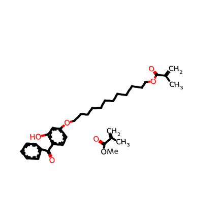 C=C(C)C(=O)OC.C=C(C)C(=O)OCCCCCCCCCCCCOc1ccc(C(=O)c2ccccc2)c(O)c1